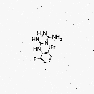 CC(C)c1cccc(F)c1NC(=N)N=C(N)N